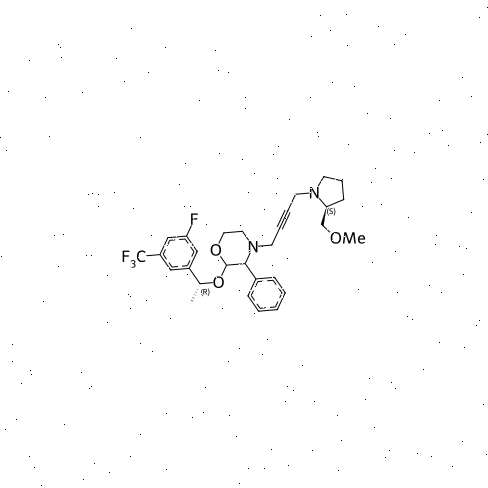 COC[C@@H]1CCCN1CC#CCN1CCOC(O[C@H](C)c2cc(F)cc(C(F)(F)F)c2)C1c1ccccc1